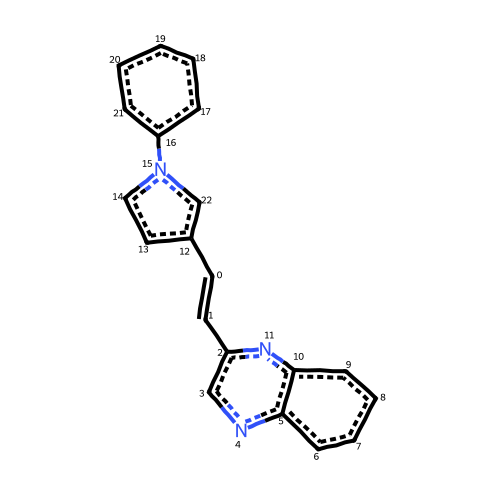 C(=Cc1cnc2ccccc2n1)c1ccn(-c2ccccc2)c1